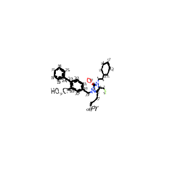 CC(C)CCc1c(CF)n(CCC2CCCCC2)c(=O)n1Cc1ccc(-c2ccccc2)c(C(=O)O)c1